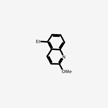 CCc1cccc2nc(OC)ccc12